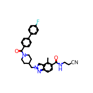 Cc1c(C(=O)NCCC#N)ccc2nn(CC3CCN(C(=O)c4ccc(-c5ccc(F)cc5)cc4)CC3)cc12